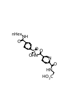 CCCCCCNC(=O)c1ccc(S(=O)(=O)NC(=O)c2ccc(C(=O)NCC(=O)O)nc2)cc1